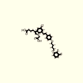 O=C(O)CCCc1cn(CC(=O)O)c2c(/C=C/c3ccc(OCCCCOc4cccc(F)c4F)cc3)cc(Cl)cc12